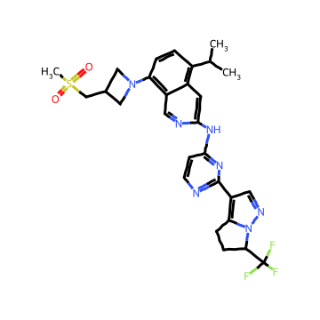 CC(C)c1ccc(N2CC(CS(C)(=O)=O)C2)c2cnc(Nc3ccnc(-c4cnn5c4CCC5C(F)(F)F)n3)cc12